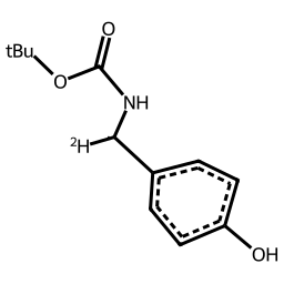 [2H][C](NC(=O)OC(C)(C)C)c1ccc(O)cc1